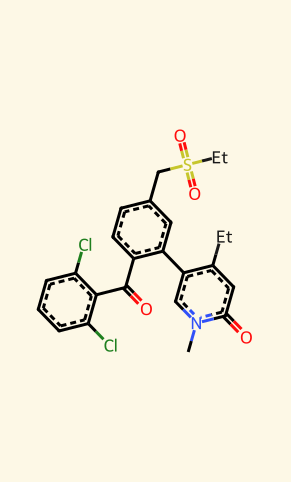 CCc1cc(=O)n(C)cc1-c1cc(CS(=O)(=O)CC)ccc1C(=O)c1c(Cl)cccc1Cl